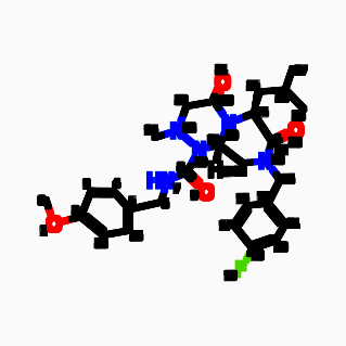 COc1ccc(CNC(=O)N2[C@H]3CN(Cc4ccc(F)cc4)C(=O)[C@H](CC(C)C)N3C(=O)CN2C)cc1